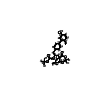 C=CCC1(CC(Cc2ccc(-c3cc(Cl)ccc3F)cc2)NC(=O)OC(C)(C)C)C(=O)OC(C)(C)OC1=O